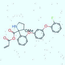 C=CC(=O)OC(=O)C1(c2ccccc2Oc2cccc(Oc3ccccc3F)c2)NCCC1OC